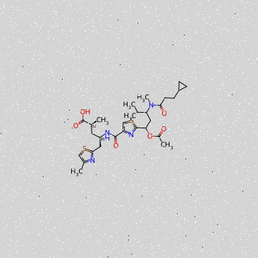 CC(=O)OC(CC(C(C)C)N(C)C(=O)CCC1CC1)c1nc(C(=O)N[C@@H](Cc2nc(C)cs2)C[C@H](C)C(=O)O)cs1